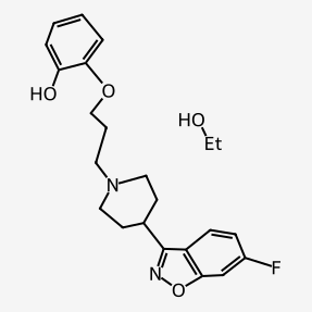 CCO.Oc1ccccc1OCCCN1CCC(c2noc3cc(F)ccc23)CC1